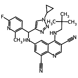 Cc1nc(F)ccc1C(Nc1cc(C#N)c2ncc(C#N)c(NCC(C)(C)C)c2c1)c1cn(C2CC2)nn1